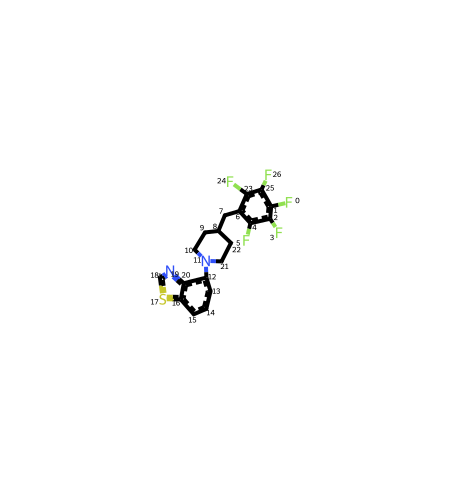 Fc1c(F)c(F)c(CC2CCN(c3cccc4s[c]nc34)CC2)c(F)c1F